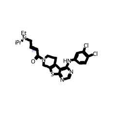 CCN(C/C=C/C(=O)N1CCc2c(sc3ncnc(Nc4ccc(Cl)c(Cl)c4)c23)C1)C(C)C